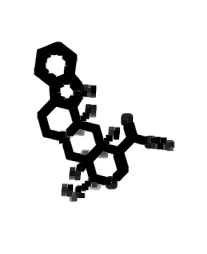 COC(=O)C1=CO[C@H](C)[C@@H]2CN3CCc4c([nH]c5ccccc45)[C@H]3C[C@@H]12